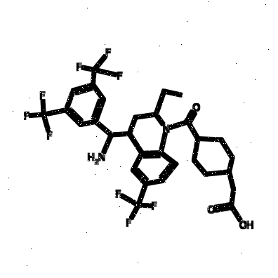 CCC1CC(C(N)c2cc(C(F)(F)F)cc(C(F)(F)F)c2)c2cc(C(F)(F)F)ccc2N1C(=O)C1CCC(CC(=O)O)CC1